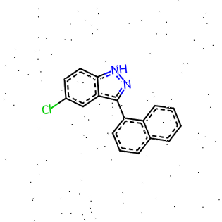 Clc1ccc2[nH]nc(-c3cccc4ccccc34)c2c1